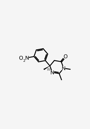 CC1=N[C@](C)(c2cccc([N+](=O)[O-])c2)CC(=O)N1C